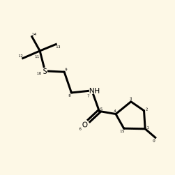 CC1CCC(C(=O)NCCSC(C)(C)C)C1